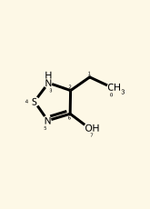 CCC1NSN=C1O